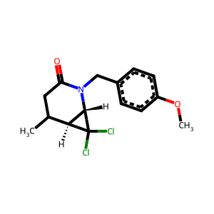 COc1ccc(CN2C(=O)CC(C)[C@H]3[C@H]2C3(Cl)Cl)cc1